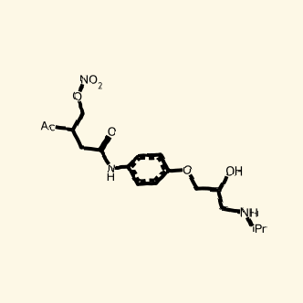 CC(=O)C(CO[N+](=O)[O-])CC(=O)Nc1ccc(OCC(O)CNC(C)C)cc1